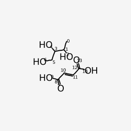 CC(O)C(O)CO.O=C(O)/C=C/C(=O)O